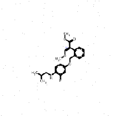 CO/C=C(/C(=O)OC)c1ccccc1COc1ccc(NCC(C)C)c(F)c1